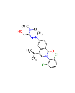 C=C(c1cn(-c2c(F)cccc2Cl)c(=O)c2ccc(N(C)/N=C(/CO)N(C=O)CC)cc12)C(F)(F)F